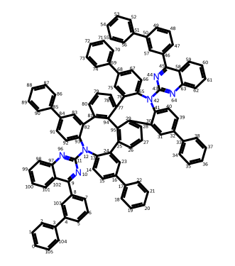 c1ccc(-c2cccc(-c3nc(-n4c5ccc(-c6ccccc6)cc5c5cccc6c7cc(-c8ccccc8)ccc7n(-c7nc(-c8cccc(-c9ccccc9)c8)c8ccccc8n7)c7ccc(-c8ccccc8)cc7c7cccc(c8cc(-c9ccccc9)ccc84)c7c56)nc4ccccc34)c2)cc1